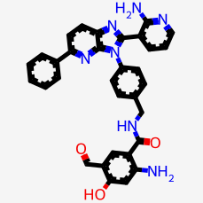 Nc1cc(O)c(C=O)cc1C(=O)NCc1ccc(-n2c(-c3cccnc3N)nc3ccc(-c4ccccc4)nc32)cc1